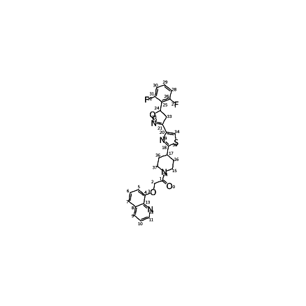 O=C(COc1cccc2cccnc12)N1CCC(c2nc(C3=NOC(c4c(F)cccc4F)C3)cs2)CC1